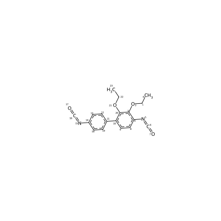 CCOc1c(N=C=O)ccc(-c2ccc(N=C=O)cc2)c1OCC